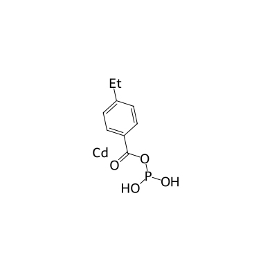 CCc1ccc(C(=O)OP(O)O)cc1.[Cd]